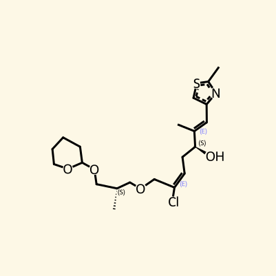 C/C(=C\c1csc(C)n1)[C@@H](O)C/C=C(/Cl)COC[C@H](C)COC1CCCCO1